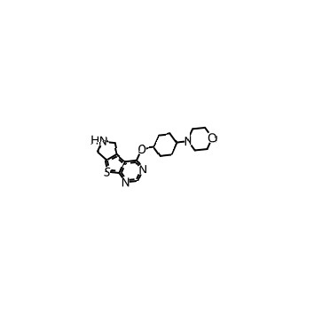 c1nc(OC2CCC(N3CCOCC3)CC2)c2c3c(sc2n1)CNC3